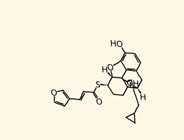 O=C(/C=C/c1ccoc1)S[C@@H]1CC[C@@]2(O)[C@H]3Cc4ccc(O)c5c4[C@@]2(CCN3CC2CC2)[C@H]1O5